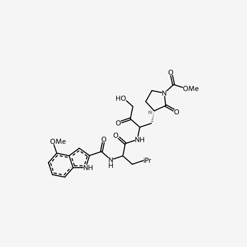 COC(=O)N1CC[C@@H](CC(NC(=O)C(CC(C)C)NC(=O)c2cc3c(OC)cccc3[nH]2)C(=O)CO)C1=O